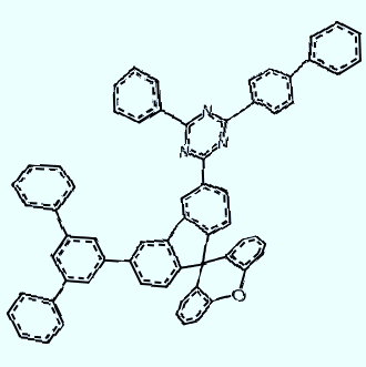 c1ccc(-c2ccc(-c3nc(-c4ccccc4)nc(-c4ccc5c(c4)-c4cc(-c6cc(-c7ccccc7)cc(-c7ccccc7)c6)ccc4C54c5ccccc5Oc5ccccc54)n3)cc2)cc1